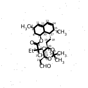 CCC(C)(C)C(=O)O[C@H]1C[C@@H](C)C=C2C=C[C@H](C)[C@H](CC[C@@H]3C[C@H](CC=O)OC(C)(C)O3)C21